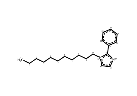 CCCCCCCCCCCn1ccnc1-c1ccccc1